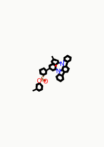 Cc1cccc(OS(=O)c2cccc(-c3cccc(-n4c5ccccc5c5ccc6c7ccccc7n(-c7cccc(C)c7)c6c54)c3)c2)c1